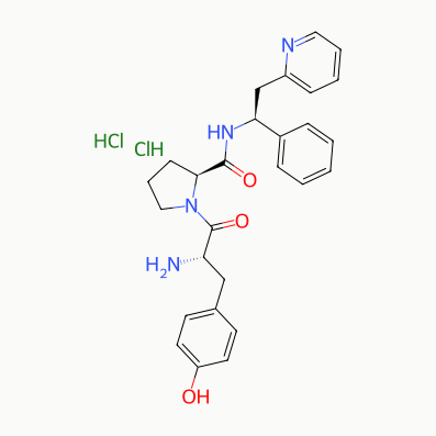 Cl.Cl.N[C@@H](Cc1ccc(O)cc1)C(=O)N1CCC[C@H]1C(=O)N[C@@H](Cc1ccccn1)c1ccccc1